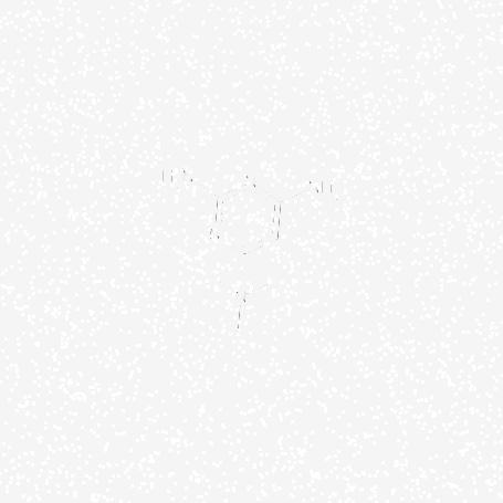 CN(C)C.Nc1ccnc(N)n1